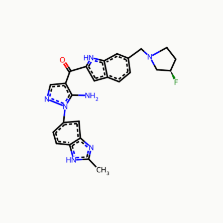 Cc1nc2cc(-n3ncc(C(=O)c4cc5ccc(CN6CC[C@@H](F)C6)cc5[nH]4)c3N)ccc2[nH]1